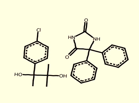 CC(C)(O)C(C)(O)c1ccc(Cl)cc1.O=C1NC(=O)C(c2ccccc2)(c2ccccc2)N1